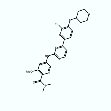 COc1cc(Nc2nccc(-c3ccc(OC4CCOCC4)c(C#N)n3)n2)cnc1C(=O)N(C)C